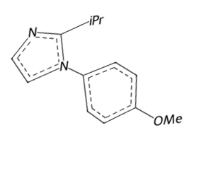 COc1ccc(-n2ccnc2C(C)C)cc1